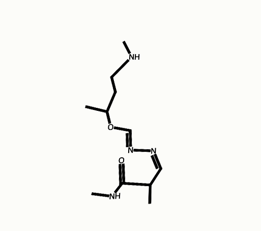 CNCCC(C)O/C=N/N=C\C(C)C(=O)NC